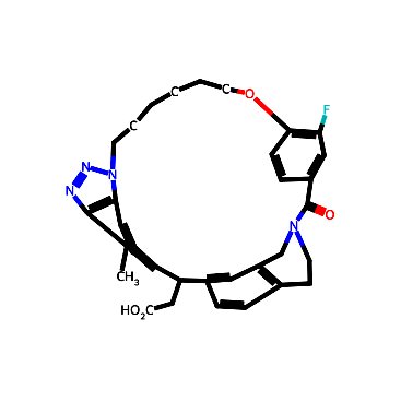 Cc1c2ccc3c1nnn3CCCCCCOc1ccc(cc1F)C(=O)N1CCc3ccc(cc3C1)C2CC(=O)O